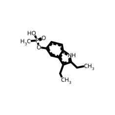 CCc1[nH]c2ccc(OP(C)(=O)O)cc2c1CC